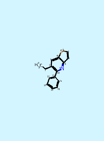 CCc1cc2sccc2nc1-c1ccccc1